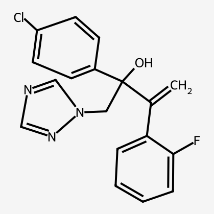 C=C(c1ccccc1F)C(O)(Cn1cncn1)c1ccc(Cl)cc1